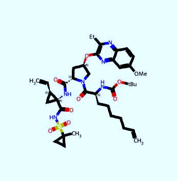 C=CCCCCC[C@H](NC(=O)OC(C)(C)C)C(=O)N1C[C@H](Oc2nc3cc(OC)ccc3nc2CC)C[C@H]1C(=O)N[C@]1(C(=O)NS(=O)(=O)C2(C)CC2)C[C@H]1C=C